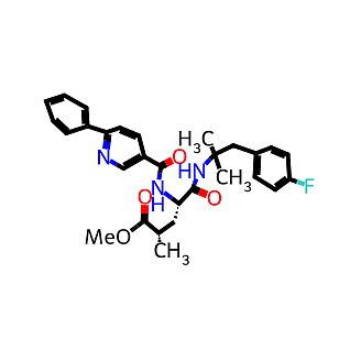 COC(=O)[C@@H](C)C[C@H](NC(=O)c1ccc(-c2ccccc2)nc1)C(=O)NC(C)(C)Cc1ccc(F)cc1